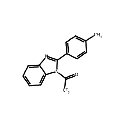 Cc1ccc(-c2nc3ccccc3n2C(=O)C(F)(F)F)cc1